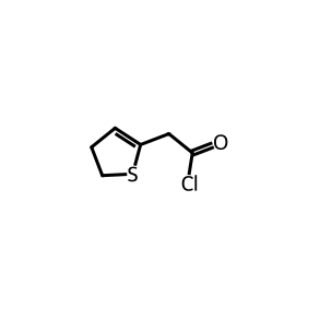 O=C(Cl)CC1=CCCS1